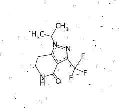 CC(C)n1nc(C(F)(F)F)c2c1CCNC2=O